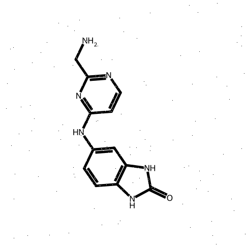 NCc1nccc(Nc2ccc3[nH]c(=O)[nH]c3c2)n1